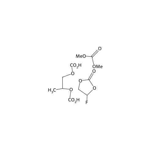 CC(COC(=O)O)OC(=O)O.COC(=O)OC.O=C1OCC(F)O1